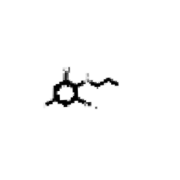 CCCNc1c(N)cc(I)cc1Cl